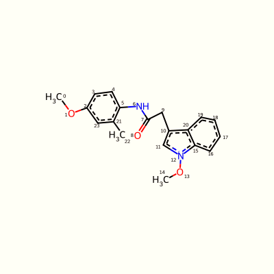 COc1ccc(NC(=O)Cc2cn(OC)c3ccccc23)c(C)c1